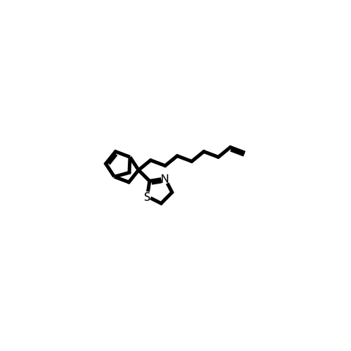 C=CCCCCCCC1(C2=NCCS2)CC2C=CC1C2